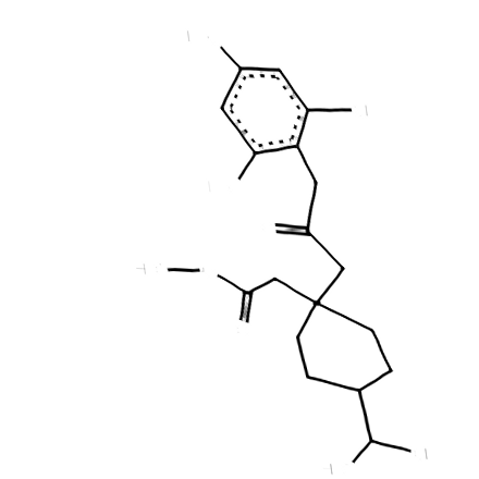 COC(=O)CC1(CC(=O)Cc2c(C)cc(C)cc2C)CCC(C(C)C)CC1